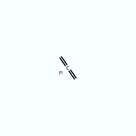 C=C=C.[P]